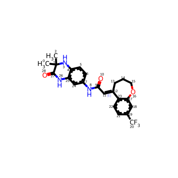 CC1(C)Nc2ccc(NC(=O)/C=C3\CCCOc4cc(C(F)(F)F)ccc43)cc2NC1=O